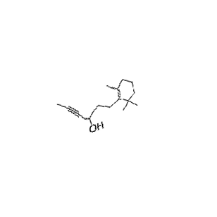 CC#CC(O)CCC1=C(C)CCCC1(C)C